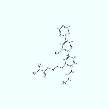 C=C(C)C(=O)OCCCc1cc(-c2ccc(-c3ccccc3)cc2C)ccc1CCCO